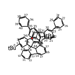 CC(C)(C)c1ccc2c(c1)C1(c3ccccc3C3=CC=CC(n4c5ccc(-c6ccccc6)cc5c5cc(-c6ccccc6)ccc54)C31)c1cc(C(C)(C)C)ccc1-2